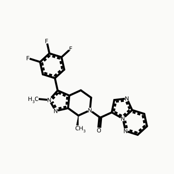 C[C@H]1c2nn(C)c(-c3cc(F)c(F)c(F)c3)c2CCN1C(=O)c1cnc2cccnn12